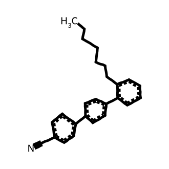 CCCCCCCc1ccccc1-c1ccc(-c2ccc(C#N)cc2)cc1